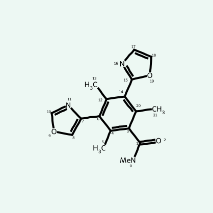 CNC(=O)c1c(C)c(-c2cocn2)c(C)c(-c2ncco2)c1C